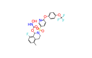 Cc1ccc(F)c2c1CCN(S(=O)(=O)c1ccc(Oc3ccc(OC(F)(F)F)cc3)nc1)C2OC(=O)NO